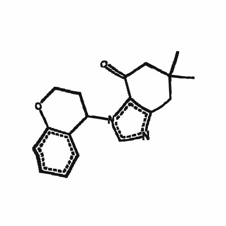 CC1(C)CC(=O)c2c(ncn2C2CCOc3ccccc32)C1